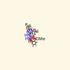 COC(=O)c1ccccc1S(=O)(=O)NC(=O)Nc1nc(OC(F)F)nc(OC(F)F)n1